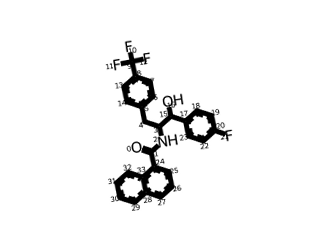 O=C(NC(Cc1ccc(C(F)(F)F)cc1)C(O)c1ccc(F)cc1)c1cccc2ccccc12